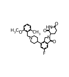 COc1cccc(C)c1CN1CCC(c2cc(F)cc3c2CN(C2CCC(=O)NC2=O)C3=O)CC1